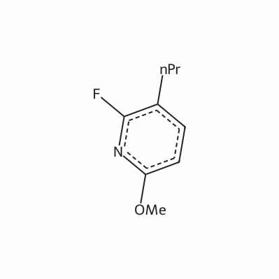 CCCc1ccc(OC)nc1F